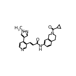 Cn1cc(-c2ccncc2/C=C/C(=O)Nc2ccc3c(c2)CN(C(=O)C2CC2)CC3)cn1